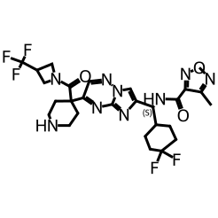 Cc1nonc1C(=O)N[C@H](c1cn2ncc(C3(C(=O)N4CC(C(F)(F)F)C4)CCNCC3)nc2n1)C1CCC(F)(F)CC1